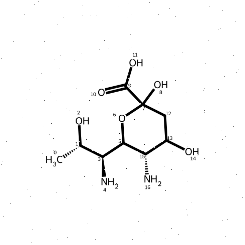 C[C@H](O)[C@H](N)C1OC(O)(C(=O)O)CC(O)[C@@H]1N